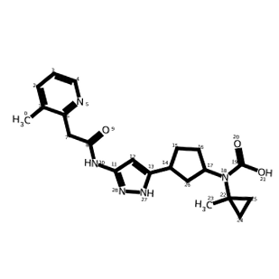 Cc1cccnc1CC(=O)Nc1cc(C2CCC(N(C(=O)O)C3(C)CC3)C2)[nH]n1